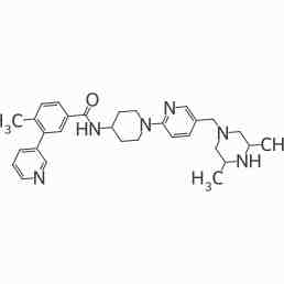 Cc1ccc(C(=O)NC2CCN(c3ccc(CN4CC(C)NC(C)C4)cn3)CC2)cc1-c1cccnc1